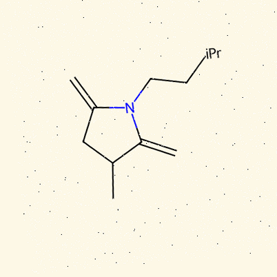 C=C1CC(C)C(=C)N1CCC(C)C